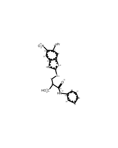 CCCc1cc2sc(SCC(C(=O)O)C(=O)Nc3ccccc3)nc2cc1[N+](=O)[O-]